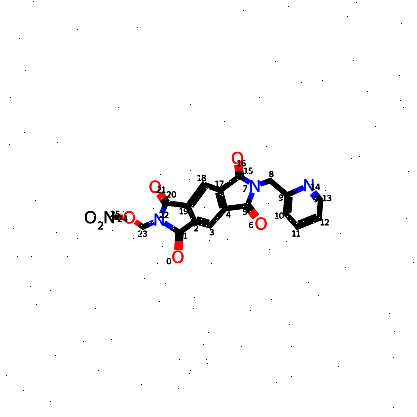 O=c1c2cc3c(=O)n(Cc4ccccn4)c(=O)c3cc2c(=O)n1CO[N+](=O)[O-]